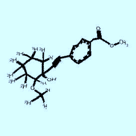 [2H]C([2H])([2H])OC1([2H])C([2H])([2H])C([2H])([2H])C([2H])([2H])C([2H])([2H])C1(O)C#Cc1ccc(C(=O)OC)cc1